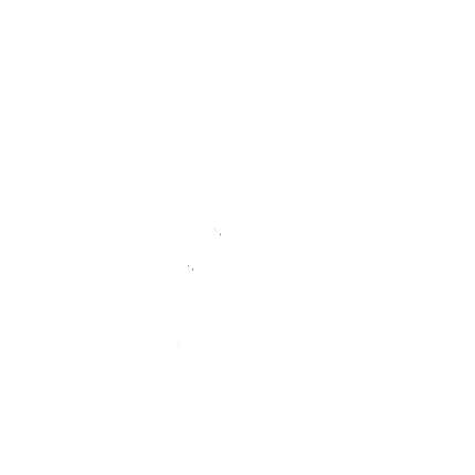 O=S(=O)(Nc1ccc(Cl)cc1/C(=N/OCc1ccc(Cl)c(Cl)c1)c1ccccc1)C(F)(F)F